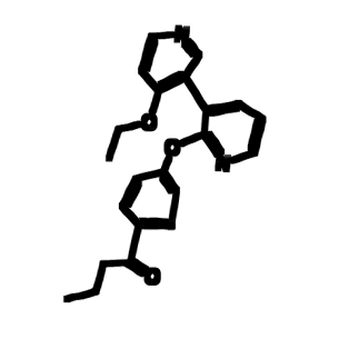 CCCC(=O)c1ccc(Oc2ncccc2-c2cnccc2OCC)cc1